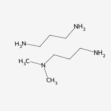 CN(C)CCCN.NCCCN